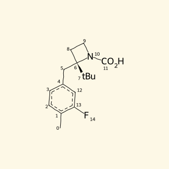 Cc1ccc(C[C@]2(C(C)(C)C)CCN2C(=O)O)cc1F